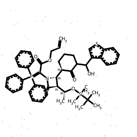 C=CCOC(=O)C(N1C(=O)[C@H]([C@@H](C)O[Si](C)(C)C(C)(C)C)[C@H]1[C@H]1CCCC(C(O)c2csc3ccccc23)C1=O)=P(c1ccccc1)(c1ccccc1)c1ccccc1